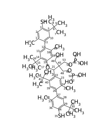 Cc1cc(S)c(C(C)(C)C)cc1-c1cc(C(C)(C)C)c(OC(c2cc(C)c(-c3cc(C(C)(C)C)c(S)cc3C)cc2C(C)(C)C)C(CO)(COP(O)O)COP(O)O)cc1C